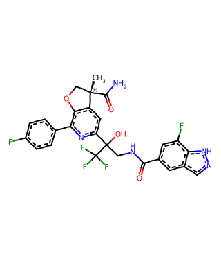 C[C@]1(C(N)=O)COc2c1cc(C(O)(CNC(=O)c1cc(F)c3[nH]ncc3c1)C(F)(F)F)nc2-c1ccc(F)cc1